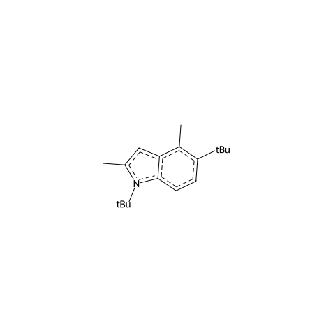 Cc1c(C(C)(C)C)ccc2c1cc(C)n2C(C)(C)C